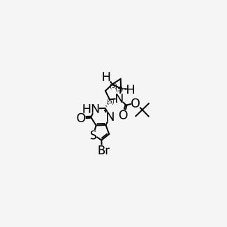 CC(C)(C)OC(=O)N1[C@H](c2nc3cc(Br)sc3c(=O)[nH]2)C[C@@H]2C[C@@H]21